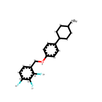 CCCCC1CCC(c2ccc(OCc3ccc(F)c(F)c3F)cc2)CC1